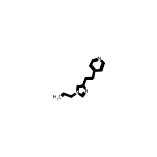 C=CCn1cnc(/C=C/c2ccncc2)c1